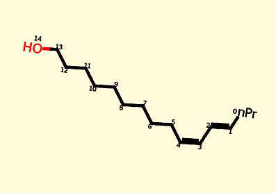 CCC/C=C/C=C\CCCCCCCCCO